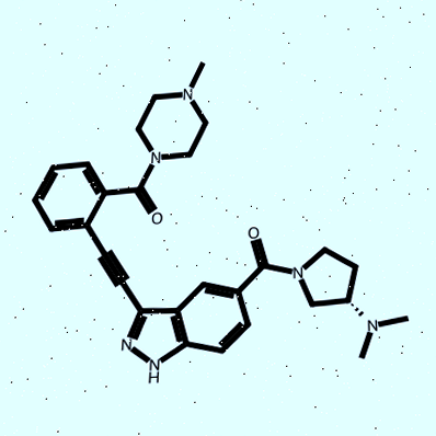 CN1CCN(C(=O)c2ccccc2C#Cc2n[nH]c3ccc(C(=O)N4CC[C@H](N(C)C)C4)cc23)CC1